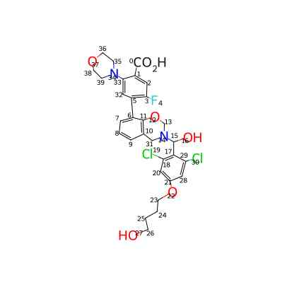 O=C(O)c1cc(F)c(-c2cccc3c2OCN(C(O)c2c(Cl)cc(OCCCCO)cc2Cl)C3)cc1N1CCOCC1